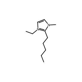 CCCCCc1n(C)cc[n+]1CC